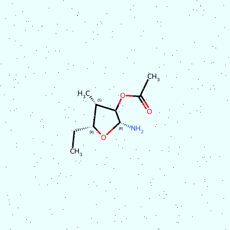 CC[C@H]1O[C@@H](N)C(OC(C)=O)[C@H]1C